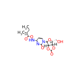 CC[C@H](C)C(=O)ONc1ccn([C@@H]2O[C@H](CO)[C@H]3OC(=O)O[C@H]32)c(=O)n1